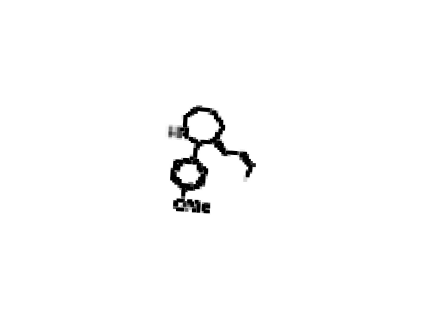 C/C=C\C=C1/CCCCNC1c1ccc(OC)cc1